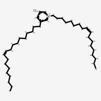 CCCCCCCC/C=C\CCCCCCCCCc1ccc[n+](CCCCCCCC/C=C\CCCCCCCC)c1.[Cl-]